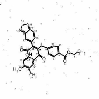 CCOC(=O)c1ccc(CC(C(=O)c2ccc(C)c(C)c2)=C(C(=O)O)c2ccc3nsnc3c2)cc1